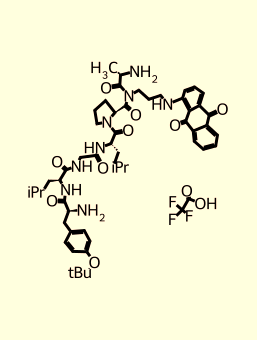 CC(C)C[C@H](NC(=O)[C@@H](N)Cc1ccc(OC(C)(C)C)cc1)C(=O)NCC(=O)N[C@@H](CC(C)C)C(=O)N1CCC[C@H]1C(=O)N(CCCNc1cccc2c1C(=O)c1ccccc1C2=O)C(=O)[C@H](C)N.O=C(O)C(F)(F)F